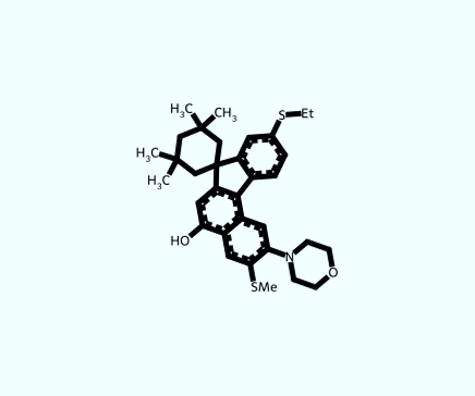 CCSc1ccc2c(c1)C1(CC(C)(C)CC(C)(C)C1)c1cc(O)c3cc(SC)c(N4CCOCC4)cc3c1-2